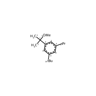 COC(C)(C)c1cc(C(C)C)cc(C(C)(C)C)c1